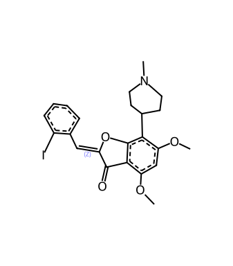 COc1cc(OC)c(C2CCN(C)CC2)c2c1C(=O)/C(=C/c1ccccc1I)O2